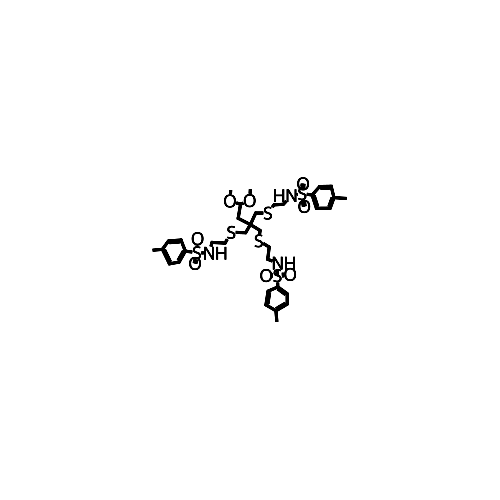 COC(CC(CSCCNS(=O)(=O)c1ccc(C)cc1)(CSCCNS(=O)(=O)c1ccc(C)cc1)CSCCNS(=O)(=O)c1ccc(C)cc1)OC